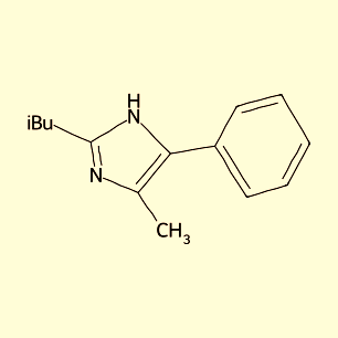 CCC(C)c1nc(C)c(-c2ccccc2)[nH]1